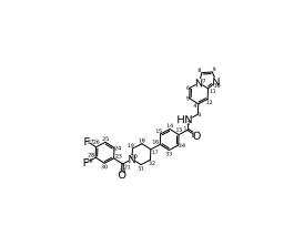 O=C(NCc1ccn2ccnc2c1)c1ccc(C2CCN(C(=O)c3ccc(F)c(F)c3)CC2)cc1